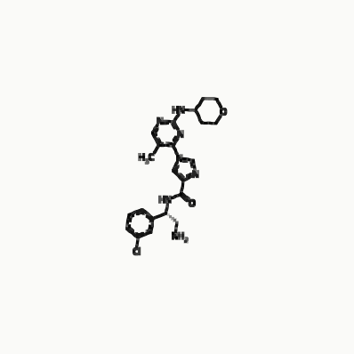 Cc1cnc(NC2CCOCC2)nc1-n1cnc(C(=O)N[C@H](CN)c2cccc(Cl)c2)c1